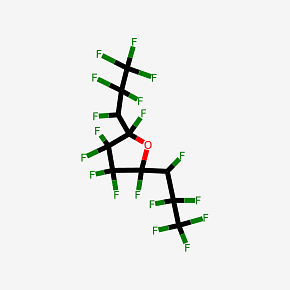 FC(C(F)(F)C(F)(F)F)C1(F)OC(F)(C(F)C(F)(F)C(F)(F)F)C(F)(F)C1(F)F